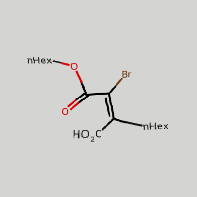 CCCCCCOC(=O)C(Br)=C(CCCCCC)C(=O)O